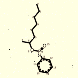 CCCCCCC(C)O[PH](=O)c1ccccc1